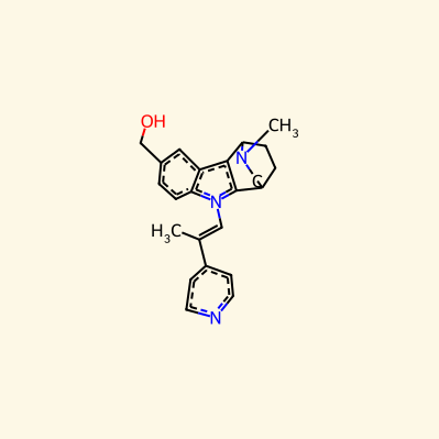 C/C(=C\n1c2c(c3cc(CO)ccc31)C1CCC2CN1C)c1ccncc1